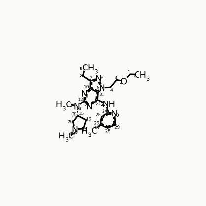 CCOCCn1nc(CC)c2nc(N(C)[C@@H]3CCN(C)C3)nc(Nc3cc(C)ccn3)c21